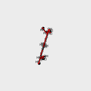 O=C(O)CC(NC(=O)[C@H](COCCOCCOCCOCCNC(=O)C(O)C(O)C(=O)NCCOCCOCCOCCOC[C@H](NC(=O)CCCCNc1ccccn1)C(=O)NC(CC(=O)O)c1cc(Cl)cc(Cl)c1)NC(=O)CCCCNc1ccccn1)c1cc(Cl)cc(Cl)c1